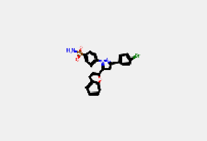 NS(=O)(=O)c1ccc(N2N=C(c3ccc(Br)cc3)CC2C2CCc3ccccc3O2)cc1